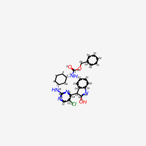 O=C(N[C@H]1CCC[C@@H](Nc2ncc(Cl)c(C3C(O)=Nc4ccccc43)n2)C1)OCc1ccccc1